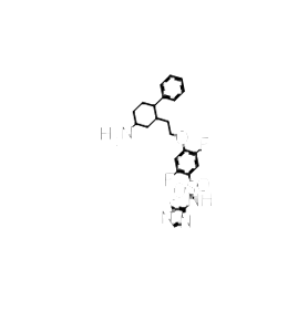 NC1CCC(c2ccccc2)C(CCOc2cc(F)c(S(=O)(=O)Nc3ncns3)cc2F)C1